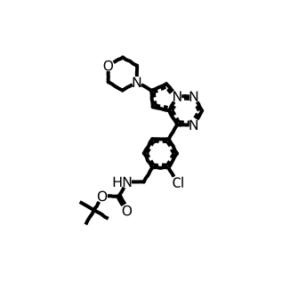 CC(C)(C)OC(=O)NCc1ccc(-c2ncnn3cc(N4CCOCC4)cc23)cc1Cl